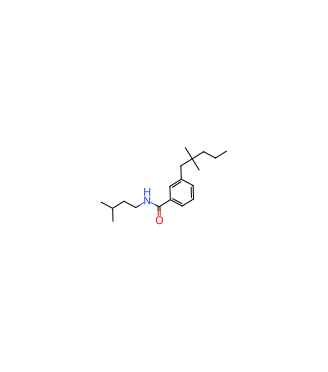 CCCC(C)(C)Cc1cccc(C(=O)NCCC(C)C)c1